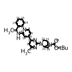 Cc1cc(-c2ccnc(N[C@@H](C)c3ccccc3)c2)nc(N2CC3CC2CN3C(=O)OC(C)(C)C)n1